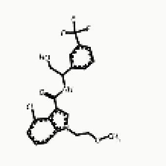 COCCn1cc(C(=O)NC(CO)c2cccc(C(F)(F)F)c2)c2c(Cl)cccc21